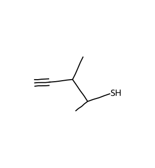 C#CC(C)C(C)S